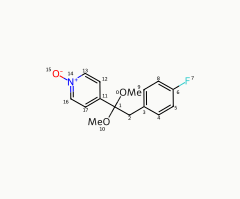 COC(Cc1ccc(F)cc1)(OC)c1cc[n+]([O-])cc1